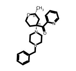 C[C@@H]1C[C@](C(=O)c2ccccn2)(N2CCN(Cc3ccccc3)CC2)CCO1